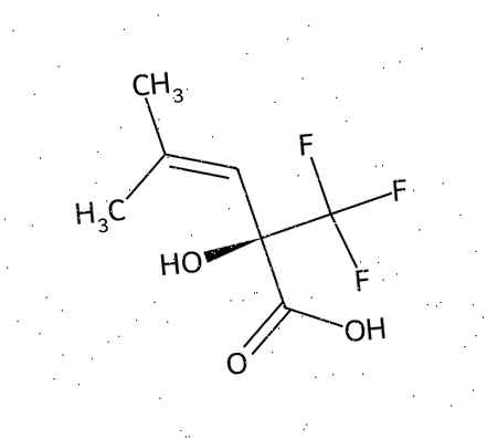 CC(C)=C[C@@](O)(C(=O)O)C(F)(F)F